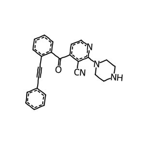 N#Cc1c(C(=O)c2ccccc2C#Cc2ccccc2)ccnc1N1CCNCC1